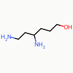 NCCC(N)CCCO